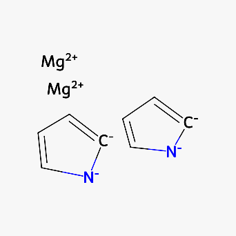 [Mg+2].[Mg+2].[c-]1ccc[n-]1.[c-]1ccc[n-]1